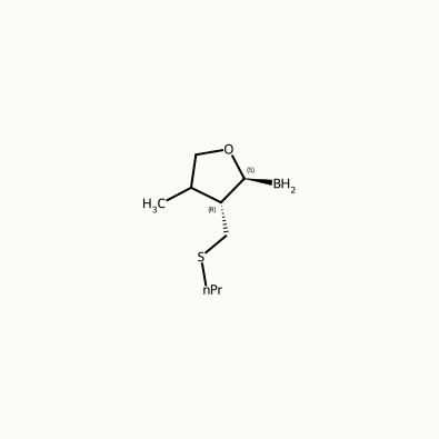 B[C@@H]1OCC(C)[C@H]1CSCCC